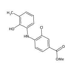 COC(=O)c1ccc(Nc2cccc(C)c2O)c(Cl)c1